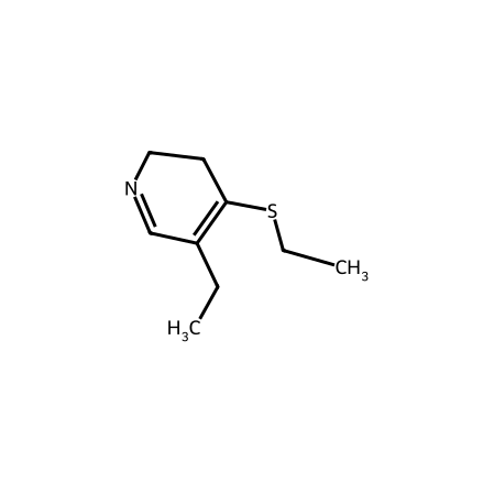 CCSC1=C(CC)C=NCC1